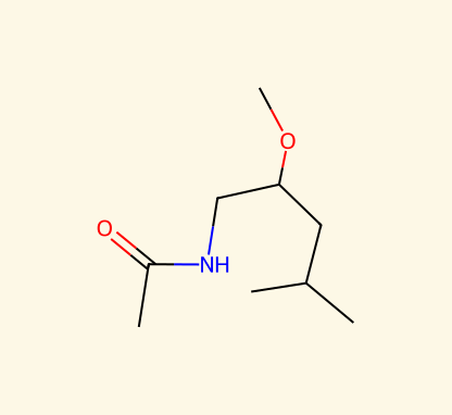 COC(CNC(C)=O)CC(C)C